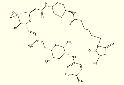 CC(=O)O[C@@H](C)/C=C\C(=O)N[C@@H]1C[C@H](C)[C@H](C/C=C(C)/C=C/[C@H]2O[C@H](CC(=O)N[C@H]3CC[C@H](NC(=O)CCCCCN4C(=O)CC(S)C4=O)CC3)C[C@@]3(CO3)[C@@H]2O)O[C@@H]1C